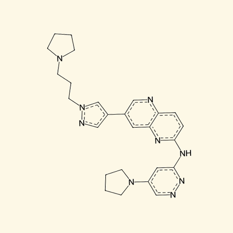 c1nc2ccc(Nc3cc(N4CCCC4)cnn3)nc2cc1-c1cnn(CCCN2CCCC2)c1